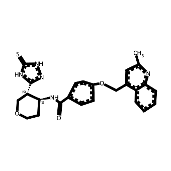 Cc1cc(COc2ccc(C(=O)N[C@H]3CCOC[C@@H]3c3n[nH]c(=S)[nH]3)cc2)c2ccccc2n1